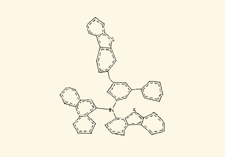 c1ccc(-c2cc(-c3ccc4c(c3)sc3ccccc34)cc(N(c3cc4ccccc4c4ccccc34)c3cccc4c3sc3ccccc34)c2)cc1